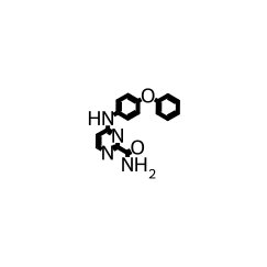 NC(=O)c1nccc(Nc2ccc(Oc3ccccc3)cc2)n1